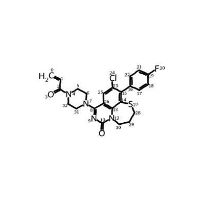 C=CC(=O)N1CCN(c2nc(=O)n3c4c(c(-c5ccc(F)cc5)c(Cl)cc24)SCCC3)CC1